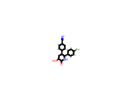 N#Cc1ccc(-c2cc(O)c(=O)[nH]c2-c2ccc(F)cc2)cc1